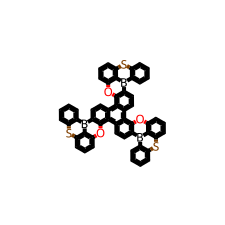 c1ccc2c(c1)Sc1cccc3c1B2c1ccc2c(c1O3)c1ccc3c(c1c1ccc4c(c21)Oc1cccc2c1B4c1ccccc1S2)Oc1cccc2c1B3c1ccccc1S2